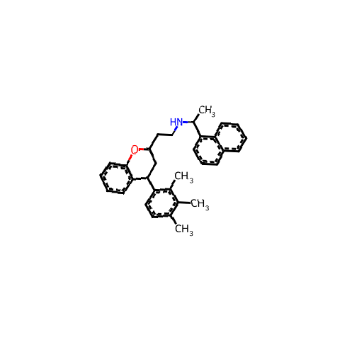 Cc1ccc(C2CC(CCNC(C)c3cccc4ccccc34)Oc3ccccc32)c(C)c1C